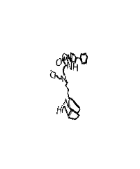 COCCN(CCCCc1ccc2c(n1)NCCC2)CCC(Nc1cc(-c2ccccc2)ccn1)C(=O)O